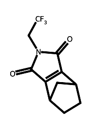 O=C1C2=C(C(=O)N1CC(F)(F)F)C1CCC2C1